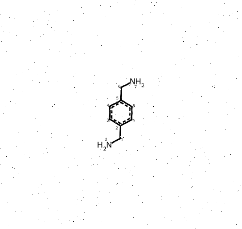 NCc1[c]cc(CN)cc1